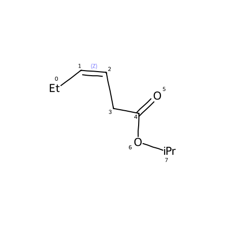 CC/C=C\CC(=O)OC(C)C